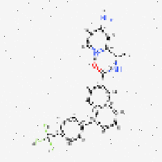 CC(NC(=O)c1ccc2c(-c3ccc(C(F)(F)F)cc3)cccc2c1)c1cc(N)ccn1